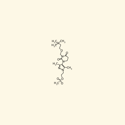 Cc1nn(CCOS(C)(=O)=O)c(C)c1N1CCC(=O)N(COCC[Si](C)(C)C)C1=O